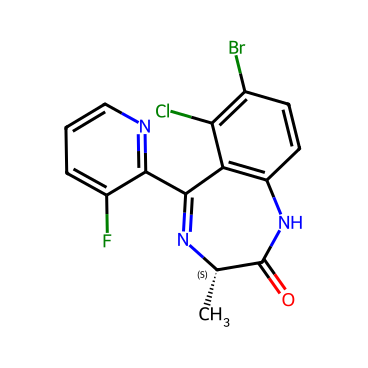 C[C@@H]1N=C(c2ncccc2F)c2c(ccc(Br)c2Cl)NC1=O